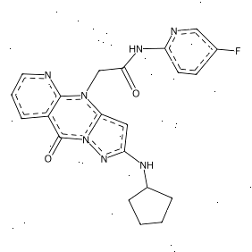 O=C(Cn1c2ncccc2c(=O)n2nc(NC3CCCC3)cc12)Nc1ccc(F)cn1